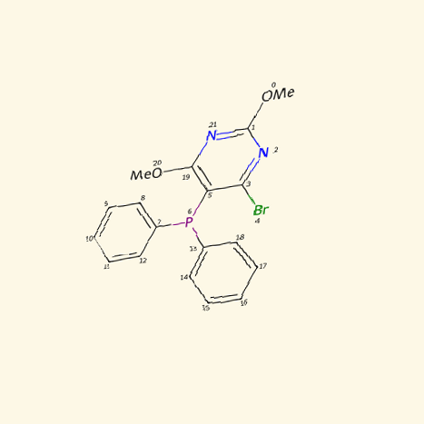 COc1nc(Br)c(P(c2ccccc2)c2ccccc2)c(OC)n1